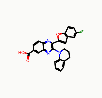 O=C(O)c1ccc2nc(-c3cc4cc(F)ccc4o3)c(N3CCCc4ccccc43)nc2c1